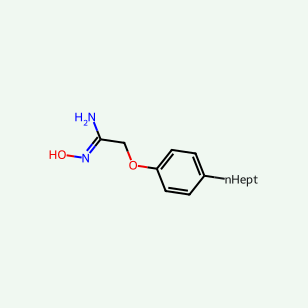 CCCCCCCc1ccc(OCC(N)=NO)cc1